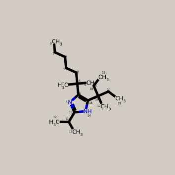 CCCCCC(C)(C)c1nc(C(C)C)[nH]c1C(C)(CC)CC